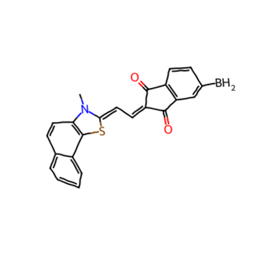 Bc1ccc2c(c1)C(=O)/C(=C/C=C1\Sc3c(ccc4ccccc34)N1C)C2=O